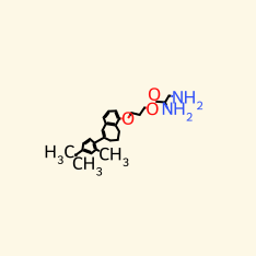 Cc1cc(C(C)C)ccc1C1=Cc2cccc(OCCCOC(=O)C(N)CN)c2CCC1